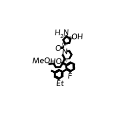 CCc1cc(C)cc(-c2c(F)cccc2[C@](O)(CCCCOC)[C@@H]2CCCN(C(=O)[C@H]3C[C@@H](N)[C@@H](O)C3)C2)c1